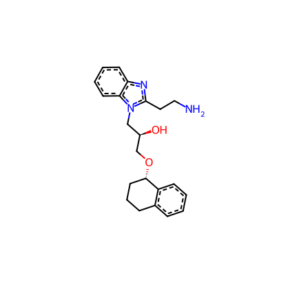 NCCc1nc2ccccc2n1C[C@@H](O)CO[C@H]1CCCc2ccccc21